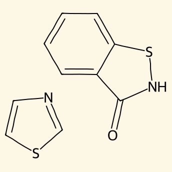 O=c1[nH]sc2ccccc12.c1cscn1